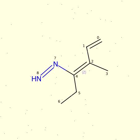 C=C/C(C)=C(/CC)N=N